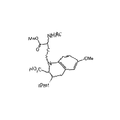 CCCCCC1Cc2cc(OC)ccc2N(SCC(NC(C)=O)C(=O)OC)C1C(=O)O